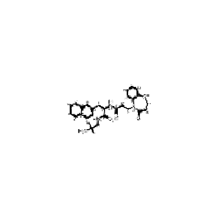 CC(C)(N)CNC(=O)C(Cc1ccc2ccccc2c1)NC(=O)CCN1C(=O)CCSc2ccccc21